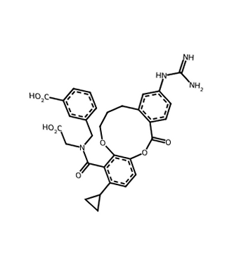 N=C(N)Nc1ccc2c(c1)CCCOc1c(ccc(C3CC3)c1C(=O)N(CC(=O)O)Cc1cccc(C(=O)O)c1)OC2=O